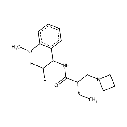 CC[C@@H](CN1CCC1)C(=O)NC(c1ccccc1OC)C(F)F